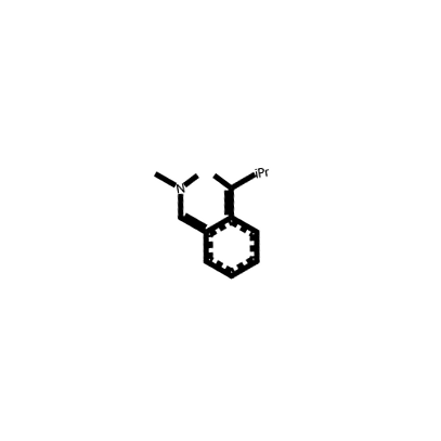 C/C(=c1/cccc/c1=C/N(C)C)C(C)C